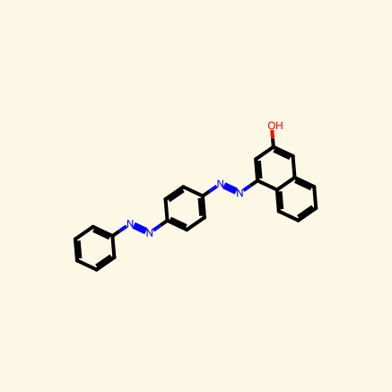 Oc1cc(N=Nc2ccc(N=Nc3ccccc3)cc2)c2ccccc2c1